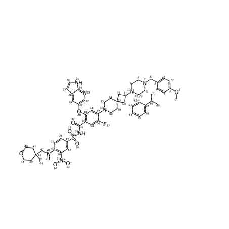 COc1ccc(CN2CCN(C3CC4(CCN(c5cc(Oc6cnc7[nH]ccc7c6)c(C(=O)NS(=O)(=O)c6ccc(NCC7(F)CCOCC7)c([N+](=O)[O-])c6)cc5F)CC4)C3)[C@@H](c3ccccc3C(C)C)C2)cc1